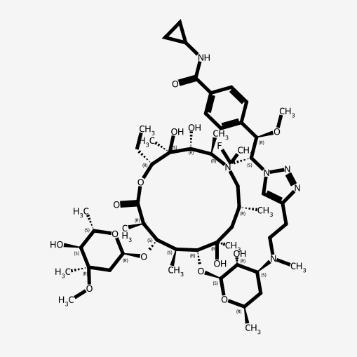 CC[C@H]1OC(=O)[C@H](C)[C@@H](O[C@H]2C[C@@](C)(OC)[C@@H](O)[C@H](C)O2)[C@H](C)[C@@H](O[C@@H]2O[C@H](C)C[C@H](N(C)CCc3cn([C@H](CF)[C@H](OC)c4ccc(C(=O)NC5CC5)cc4)nn3)[C@H]2O)[C@](C)(O)C[C@@H](C)CN(C)[C@H](C)[C@@H](O)[C@]1(C)O